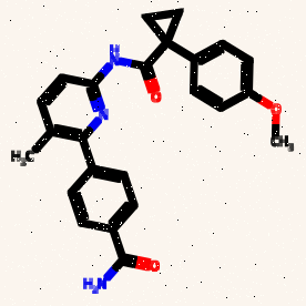 COc1ccc(C2(C(=O)Nc3ccc(C)c(-c4ccc(C(N)=O)cc4)n3)CC2)cc1